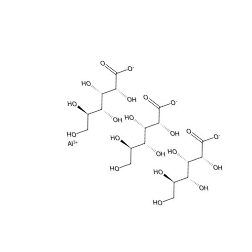 O=C([O-])[C@H](O)[C@@H](O)[C@H](O)[C@H](O)CO.O=C([O-])[C@H](O)[C@@H](O)[C@H](O)[C@H](O)CO.O=C([O-])[C@H](O)[C@@H](O)[C@H](O)[C@H](O)CO.[Al+3]